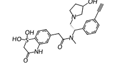 C#Cc1cccc([C@@H](CN2CCC(O)C2)N(C)C(=O)Cc2ccc3c(c2)NC(=O)CS3(O)O)c1